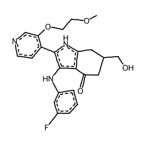 COCCOc1cnccc1-c1[nH]c2c(c1Nc1cccc(F)c1)C(=O)CC(CO)C2